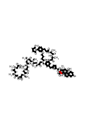 C[C@H](NC(=O)CCc1cc(F)c(N2C(=O)C=CC2=O)cc1OCCCC(=O)N(C)CC(=O)N(C)CC(=O)N(C)CC(=O)N(C)CC(=O)N(C)CC(=O)N(C)CC(=O)N(C)CC(=O)N(C)CC(=O)N(C)CC(=O)N(C)CC(=O)O)C(=O)N[C@@H](C)C(=O)Nc1cccc(Cc2ccc([C@@H]3O[C@@H]4C[C@H]5[C@@H]6CCC7=CC(=O)C=C[C@]7(C)[C@@]6(F)[C@@H](O)C[C@]5(C)[C@]4(C(=O)CO)O3)s2)c1